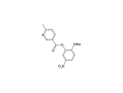 COc1ccc([N+](=O)[O-])cc1OC(=O)c1ccc(C)nc1